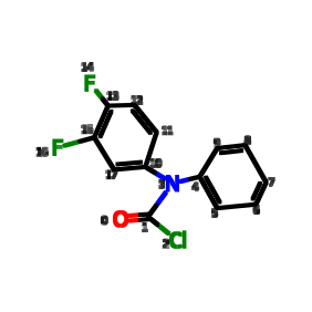 O=C(Cl)N(c1ccccc1)c1ccc(F)c(F)c1